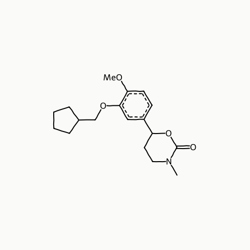 COc1ccc(C2CCN(C)C(=O)O2)cc1OCC1CCCC1